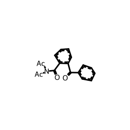 CC(=O)N(C(C)=O)C(=O)c1ccccc1C(=O)c1ccccc1